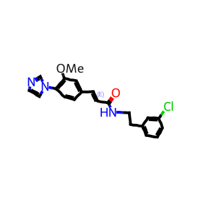 COc1cc(/C=C/C(=O)NCCc2cccc(Cl)c2)ccc1-n1ccnc1